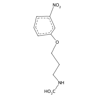 O=C(O)NCCCOc1cccc([N+](=O)[O-])c1